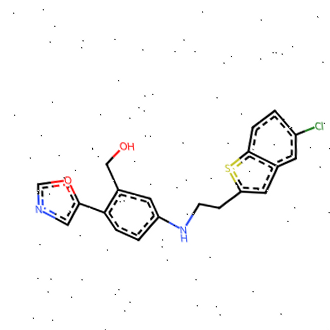 OCc1cc(NCCc2cc3cc(Cl)ccc3s2)ccc1-c1cnco1